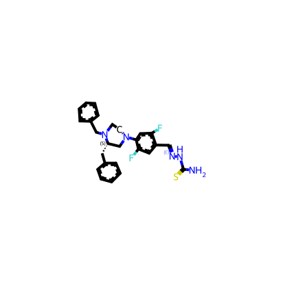 NC(=S)N/N=C/c1cc(F)c(N2CCN(Cc3ccccc3)[C@@H](Cc3ccccc3)C2)cc1F